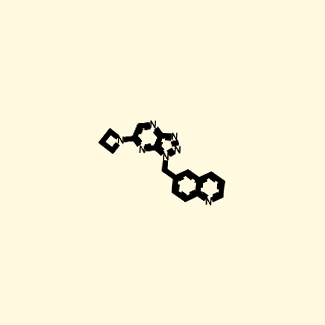 c1cnc2ccc(Cn3nnc4ncc(N5CCC5)nc43)cc2c1